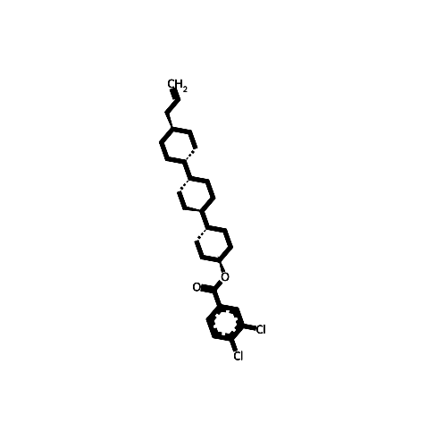 C=CC[C@H]1CC[C@H]([C@H]2CC[C@H]([C@H]3CC[C@H](OC(=O)c4ccc(Cl)c(Cl)c4)CC3)CC2)CC1